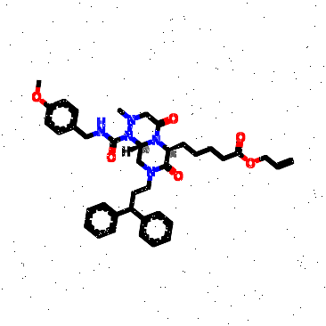 C=CCOC(=O)CCCC[C@H]1C(=O)N(CCC(c2ccccc2)c2ccccc2)C[C@H]2N1C(=O)CN(C)N2C(=O)NCc1ccc(OC)cc1